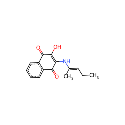 CC/C=C(\C)NC1=C(O)C(=O)c2ccccc2C1=O